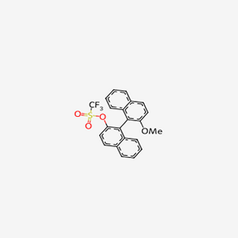 COc1ccc2ccccc2c1-c1c(OS(=O)(=O)C(F)(F)F)ccc2ccccc12